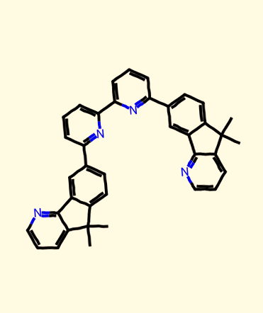 CC1(C)c2ccc(-c3cccc(-c4cccc(-c5ccc6c(c5)-c5ncccc5C6(C)C)n4)n3)cc2-c2ncccc21